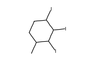 CC1CCC(I)C(I)C1I